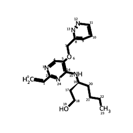 C=Cc1ncc(OCc2cccnn2)c(N[C@H](CCO)CCCC)n1